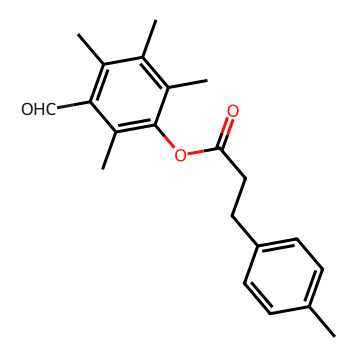 Cc1ccc(CCC(=O)Oc2c(C)c(C)c(C)c(C=O)c2C)cc1